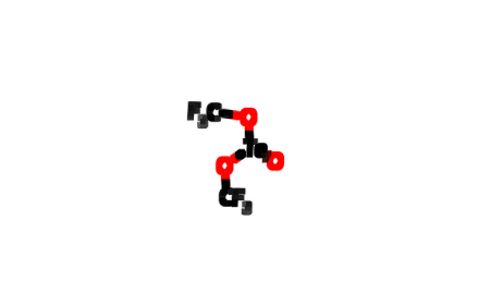 O=[Te](OC(F)(F)F)OC(F)(F)F